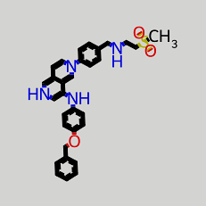 CS(=O)(=O)CCNCc1ccc(N2C=CC3=CNC=C(Nc4ccc(OCc5ccccc5)cc4)C3=C2)cc1